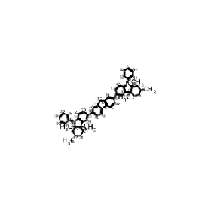 CC1CCC2(C)c3cc(-c4ccc5c(c4)Cc4cc(-c6ccc7c(c6)C6(C)CCC(C)CC6(C)N7c6ccccc6)ccc4-5)ccc3N(c3ccccc3)C2(C)C1